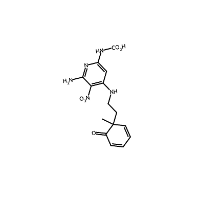 CC1(CCNc2cc(NC(=O)O)nc(N)c2[N+](=O)[O-])C=CC=CC1=O